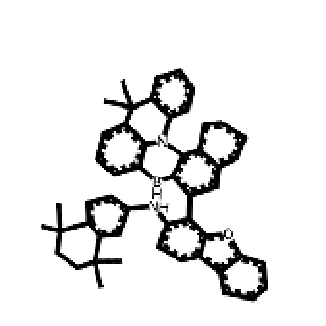 CC1(C)CCC(C)(C)c2cc(Nc3ccc4c(oc5ccccc54)c3-c3cc4ccccc4c4c3Bc3cccc5c3N4c3ccccc3C5(C)C)ccc21